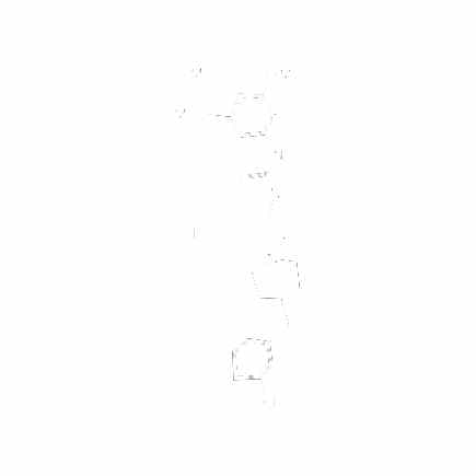 COc1cc(NC(=O)NCC[N+]2(C)CCC(Cc3ccc(Cl)c(Cl)c3)CC2)cc(OC)c1OC.[I-]